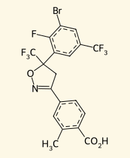 Cc1cc(C2=NOC(c3cc(C(F)(F)F)cc(Br)c3F)(C(F)(F)F)C2)ccc1C(=O)O